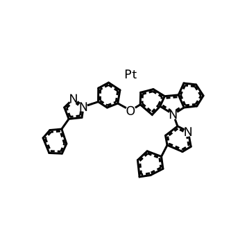 [Pt].c1ccc(-c2ccnc(-n3c4ccccc4c4ccc(Oc5cccc(-n6cc(-c7ccccc7)cn6)c5)cc43)c2)cc1